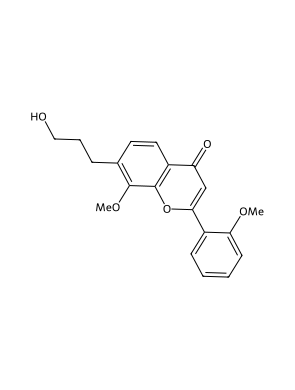 COc1ccccc1-c1cc(=O)c2ccc(CCCO)c(OC)c2o1